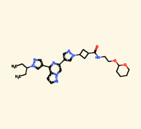 CCC(CC)n1cc(-c2nc(-c3cnn(C4CC(C(=O)NCCOC5CCCCO5)C4)c3)cn3nccc23)cn1